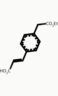 CCOC(=O)Cc1ccc(/C=C/C(=O)O)cc1